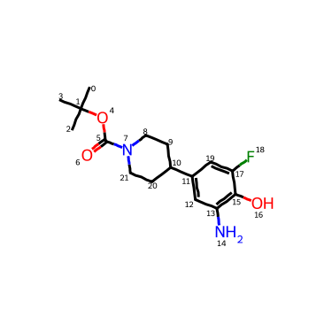 CC(C)(C)OC(=O)N1CCC(c2cc(N)c(O)c(F)c2)CC1